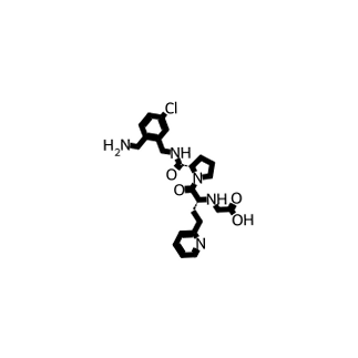 NCc1ccc(Cl)cc1CNC(=O)[C@@H]1CCCN1C(=O)[C@@H](CCc1ccccn1)NCC(=O)O